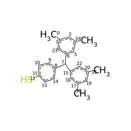 Cc1cc(C)cc(C(c2ccc(S)cc2)c2cc(C)cc(C)c2)c1